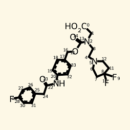 O=C(O)CN(CCN1CCC(F)(F)CC1)C(=O)OCc1ccc(NC(=O)Cc2ccc(F)cc2)cc1